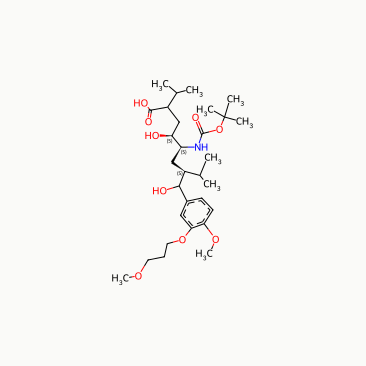 COCCCOc1cc(C(O)[C@@H](C[C@H](NC(=O)OC(C)(C)C)[C@@H](O)CC(C(=O)O)C(C)C)C(C)C)ccc1OC